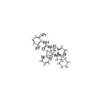 CC(C)c1cccc(C(C)C)c1NC(=O)NC(C)(Cc1ccccn1)C(=O)NCC1(c2ccccn2)CCCCC1